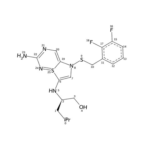 CC(C)C[C@H](CO)NC1=CN(SCc2cccc(F)c2F)C2=CN=C(N)N=S12